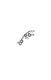 Cn1nc(C[C@@H](CC(=O)O)c2cccc(C#N)c2)cc1OCCc1ccc2c(n1)NCCC2